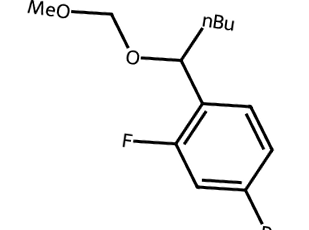 CCCCC(OCOC)c1ccc(Br)cc1F